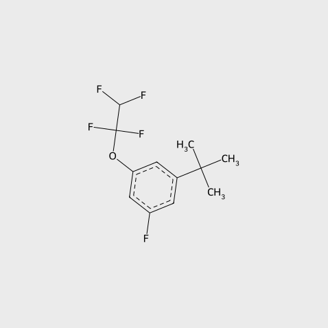 CC(C)(C)c1cc(F)cc(OC(F)(F)C(F)F)c1